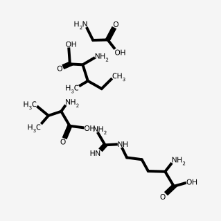 CC(C)C(N)C(=O)O.CCC(C)C(N)C(=O)O.N=C(N)NCCCC(N)C(=O)O.NCC(=O)O